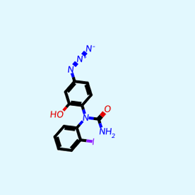 [N-]=[N+]=Nc1ccc(N(C(N)=O)c2ccccc2I)c(O)c1